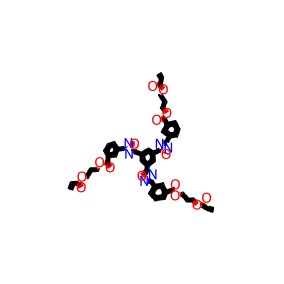 C=CC(=O)OCCCOC(=O)c1cccc(-c2noc(-c3cc(-c4nc(-c5cccc(C(=O)OCCCOC(=O)C=C)c5)no4)cc(-c4nc(-c5cccc(C(=O)OCCCOC(=O)C=C)c5)no4)c3)n2)c1